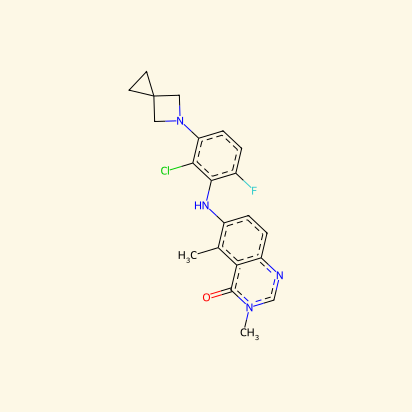 Cc1c(Nc2c(F)ccc(N3CC4(CC4)C3)c2Cl)ccc2ncn(C)c(=O)c12